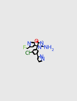 CN1C(=O)C(c2cc(Cl)cc(-c3cccnn3)c2)(c2ccnc(CF)c2)N=C1N